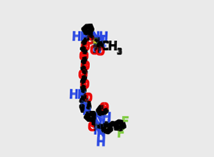 Cc1nc(NC(=O)c2ccccc2NCCOCCOCCOCCOCCOCCNC(=O)CN2CCN(c3ccc(C(=O)Nc4n[nH]c5ccc(Cc6cc(F)cc(F)c6)cc45)c(NC4CCOCC4)c3)CC2)sc1[N+](=O)[O-]